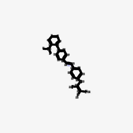 CN(C)c1ccccc1-c1ccc(/C=C/c2ccc(OC(F)=C(F)F)cc2)cc1